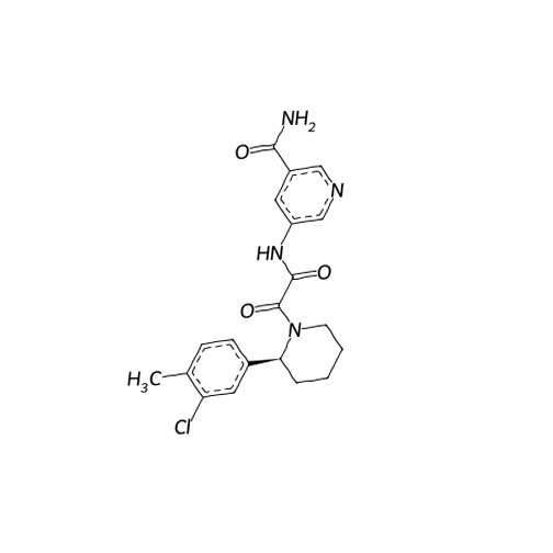 Cc1ccc([C@@H]2CCCCN2C(=O)C(=O)Nc2cncc(C(N)=O)c2)cc1Cl